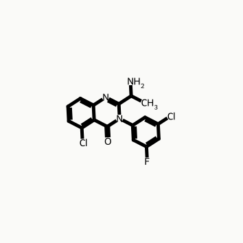 CC(N)c1nc2cccc(Cl)c2c(=O)n1-c1cc(F)cc(Cl)c1